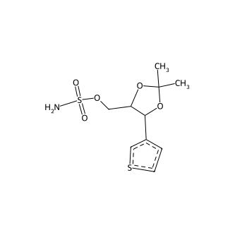 CC1(C)OC(COS(N)(=O)=O)C(c2ccsc2)O1